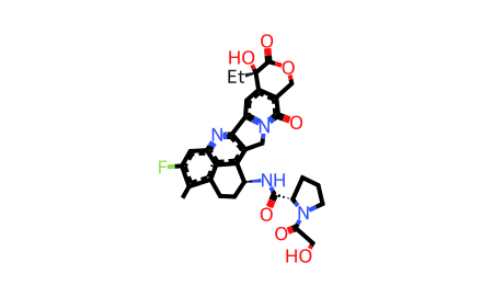 CC[C@@]1(O)C(=O)OCc2c1cc1n(c2=O)Cc2c-1nc1cc(F)c(C)c3c1c2[C@@H](NC(=O)[C@@H]1CCCN1C(=O)CO)CC3